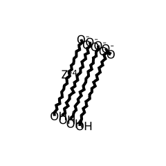 O=C([O-])CCCCCCCCCCCCCCCCCCCCCO.O=C([O-])CCCCCCCCCCCCCCCCCCCCCO.O=C([O-])CCCCCCCCCCCCCCCCCCCCCO.O=C([O-])CCCCCCCCCCCCCCCCCCCCCO.[Zr+4]